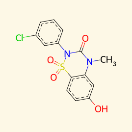 CN1C(=O)N(c2cccc(Cl)c2)S(=O)(=O)c2ccc(O)cc21